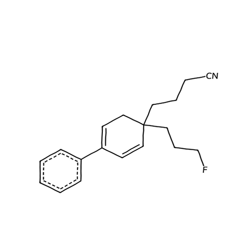 N#CCCCC1(CCCF)C=CC(c2ccccc2)=CC1